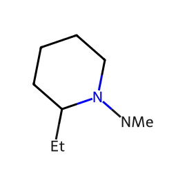 CCC1CCCCN1NC